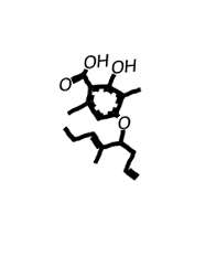 C=CCC(Oc1cc(C)c(C(=O)O)c(O)c1C)C(C)=CCC